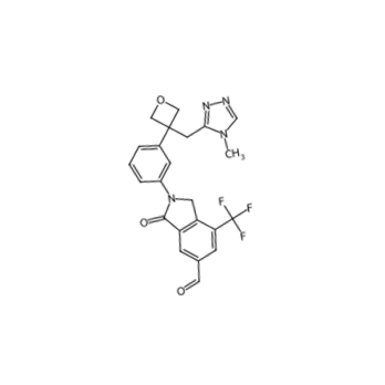 Cn1cnnc1CC1(c2cccc(N3Cc4c(cc(C=O)cc4C(F)(F)F)C3=O)c2)COC1